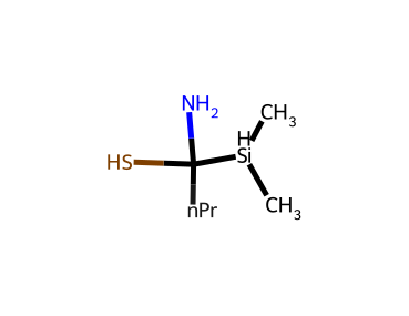 CCCC(N)(S)[SiH](C)C